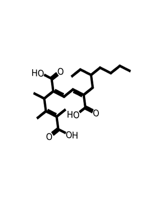 CCCCC(CC)CC(=CC=C(C(=O)O)C(C)C(C)=C(C)C(=O)O)C(=O)O